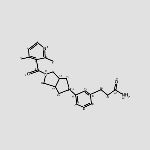 Cc1ccnc(C)c1C(=O)N1CC2CN(c3cccc(CCC(N)=O)c3)CC2C1